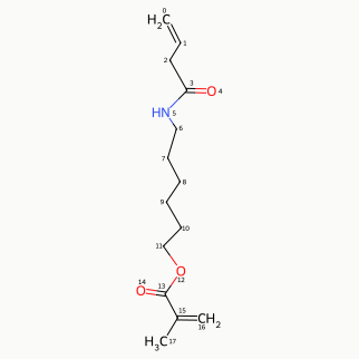 C=CCC(=O)NCCCCCCOC(=O)C(=C)C